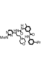 CNc1nccc(C(CCN2CCOCC2)NC(=O)Nc2cc(C(=O)Nc3cccc(C(C)C)c3)ccc2C)n1